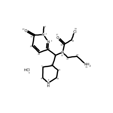 Cl.Cn1nc(C(C2CCNCC2)N(CCN)C(=O)CCl)ccc1=O